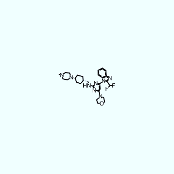 CN1CCN([C@H]2CC[C@@H](CNc3nc(N4CCOCC4)cc(-n4c(C(F)F)nc5ccccc54)n3)CC2)CC1